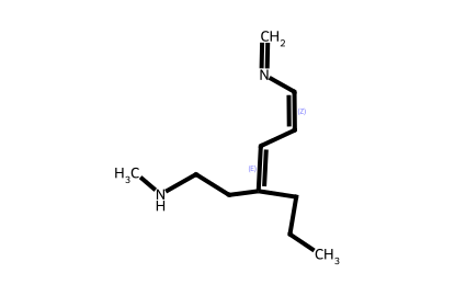 C=N/C=C\C=C(/CCC)CCNC